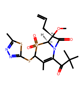 C=CC[C@@]1(OC)C(=O)N2C(C(=O)C(C)(C)C)=C(C)C(Sc3nnc(C)s3)S(=O)(=O)[C@H]21